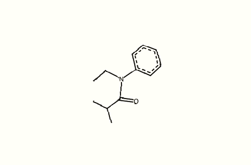 CCN(C(=O)C(C)C)c1ccccc1